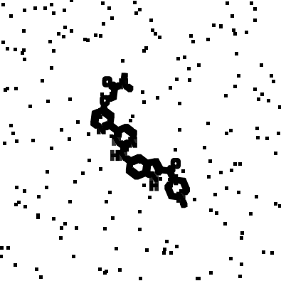 CN1CCN(C(=O)c2cc3cc(Nc4nccc(-c5cc(OCC(=O)N(C)C)ccn5)n4)ccc3[nH]2)CC1